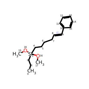 CCC[Si](CCCC/C=C/c1ccccc1)(OC)OC